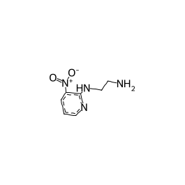 NCCNc1ncccc1[N+](=O)[O-]